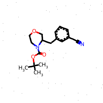 CC(C)(C)OC(=O)N1CCOCC1Cc1cccc(C#N)c1